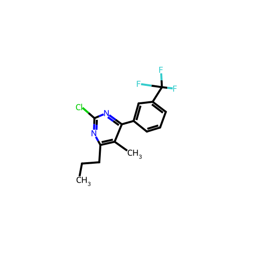 CCCc1nc(Cl)nc(-c2cccc(C(F)(F)F)c2)c1C